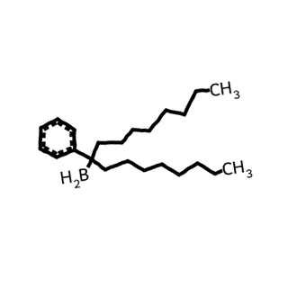 BC(CCCCCCCC)(CCCCCCCC)c1ccccc1